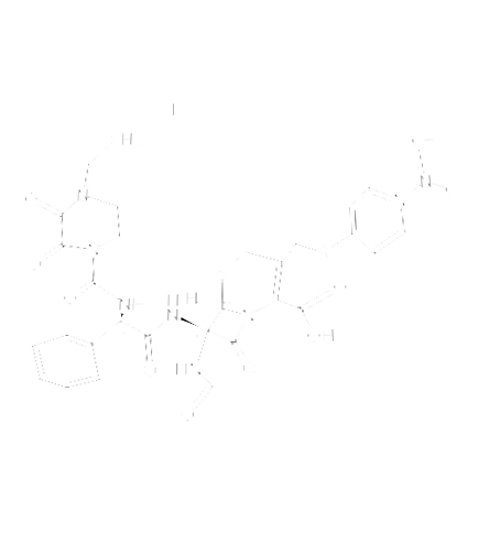 CCN1CCN(C(=O)N[C@@H](C(=O)N[C@]2(NC=O)C(=O)N3C(C(=O)O)=C(CSc4cc[n+](N(C)C)cc4)CS[C@@H]32)c2ccccc2)C(=O)C1=O.[I-]